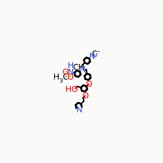 [C-]#[N+]c1ccc(CN(Cc2ccc(Oc3cc(CO)cc(OCCc4cccnc4)c3)cc2)c2cccc(NS(C)(=O)=O)c2C)cc1